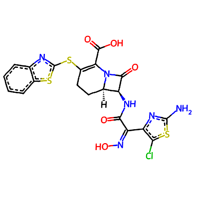 Nc1nc(/C(=N/O)C(=O)N[C@@H]2C(=O)N3C(C(=O)O)=C(Sc4nc5ccccc5s4)CC[C@H]23)c(Cl)s1